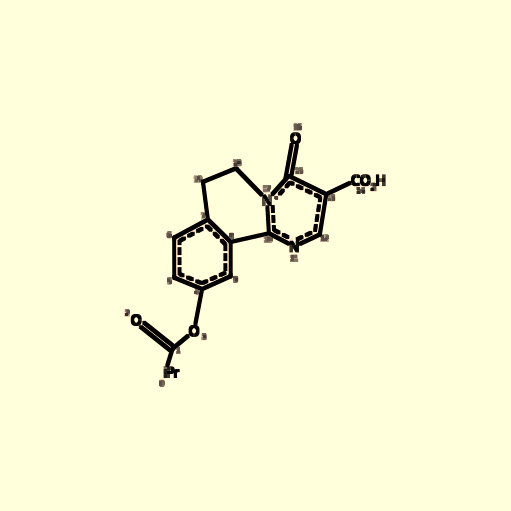 CC(C)C(=O)Oc1ccc2c(c1)-c1ncc(C(=O)O)c(=O)n1CC2